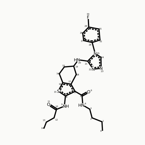 CCCCNC(=O)c1c(NC(=O)CCC)sc2c1CC(Nc1nncn1-c1ccc(F)cc1)CC2